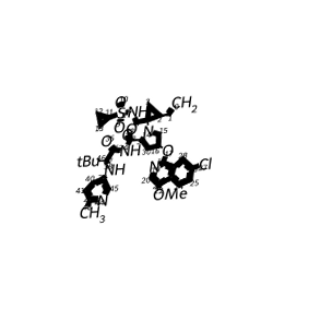 C=C[C@@H]1C[C@@]1(C(=O)NS(=O)(=O)C1CC1)N1C[C@H](Oc2ncc(OC)c3ccc(Cl)cc23)C[C@H]1C(=O)NC(=O)[C@H](Nc1ccc(C)nc1)C(C)(C)C